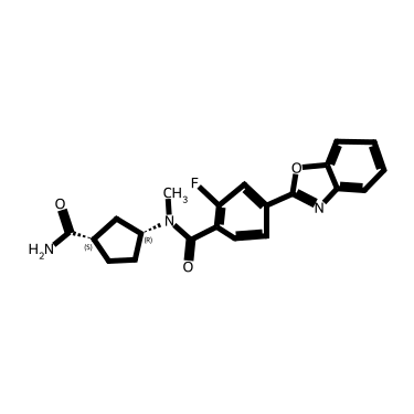 CN(C(=O)c1ccc(-c2nc3ccccc3o2)cc1F)[C@@H]1CC[C@H](C(N)=O)C1